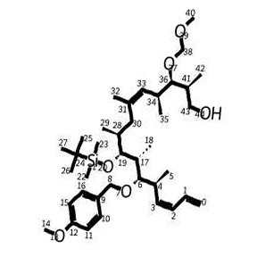 C=C/C=C\[C@H](C)[C@H](OCc1ccc(OC)cc1)[C@@H](C)[C@H](O[Si](C)(C)C(C)(C)C)[C@@H](C)C/C(C)=C\[C@H](C)[C@@H](OCOC)[C@@H](C)CO